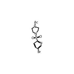 CC(=O)N1CCN(S(=O)(=O)c2ccc(Br)cn2)CC1